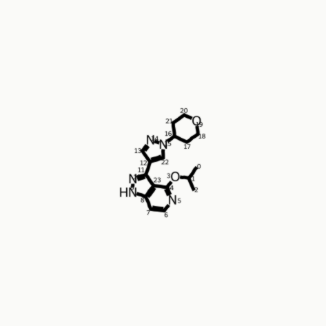 CC(C)Oc1nccc2[nH]nc(-c3cnn(C4CCOCC4)c3)c12